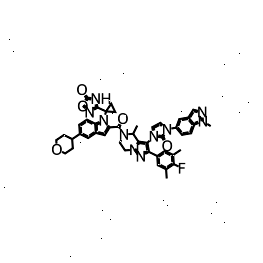 Cc1cc(-c2nn3c(c2-n2ccn(-c4ccc5c(cnn5C)c4)c2=O)C(C)N(C(=O)c2cc4cc(C5CCOCC5)ccc4n2C2(c4noc(=O)[nH]4)CC2)CC3)cc(C)c1F